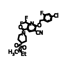 CCN(C)S(=O)(=O)C1CCN(C(=O)c2cc(C#N)c(OCc3ccc(Cl)cc3F)nc2C(F)F)CC1